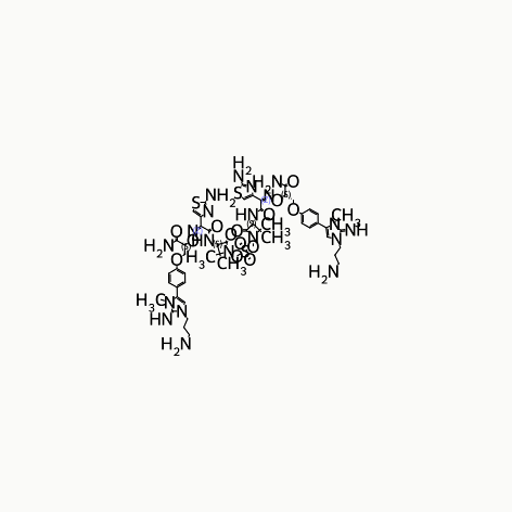 Cn1c(-c2ccc(OC[C@H](O/N=C(\C(=O)N[C@@H]3C(=O)N(OS(=O)(=O)ON4C(=O)[C@@H](NC(=O)/C(=N\O[C@@H](COc5ccc(-c6cn(CCCN)c(=N)n6C)cc5)C(N)=O)c5csc(N)n5)C4(C)C)C3(C)C)c3csc(N)n3)C(N)=O)cc2)cn(CCCN)c1=N